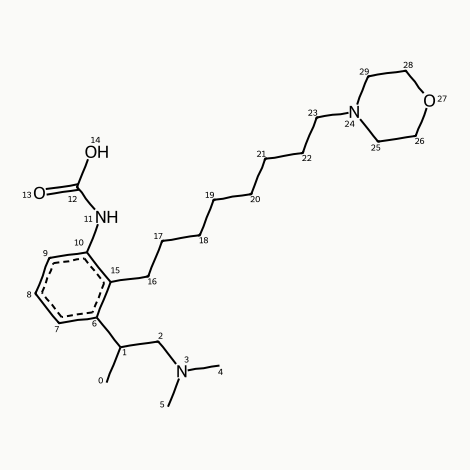 CC(CN(C)C)c1cccc(NC(=O)O)c1CCCCCCCCN1CCOCC1